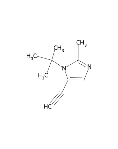 C#Cc1cnc(C)n1C(C)(C)C